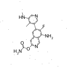 CNc1cncc(-c2cc3cc(OC(N)=O)ncc3c(N)c2F)c1C